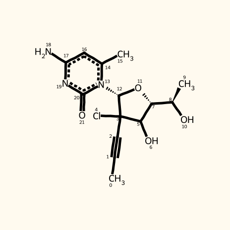 CC#CC1(Cl)C(O)[C@@H]([C@@H](C)O)O[C@H]1n1c(C)cc(N)nc1=O